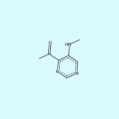 CNc1cn[c]nc1C(C)=O